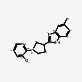 Cc1ccc2[nH]c(C3CCN(c4ncccc4Cl)C3)nc2c1